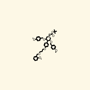 COc1ccc(COC2CN(OC(=O)OC(C)(C)C)CC(OCc3ccc(OC)cc3)C2c2ccc(OCCCOCc3ccccc3OC)cc2)cc1